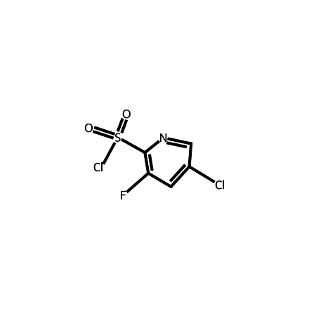 O=S(=O)(Cl)c1ncc(Cl)cc1F